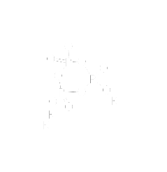 O=P1([O-])OP(=O)([O-])OP(=O)([O-])O1.[K+].[K+].[K+]